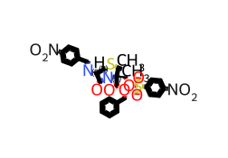 CC1(C)S[C@@H]2[C@@H](N=Cc3ccc([N+](=O)[O-])cc3)C(=O)N2[C@@]1(COS(=O)(=O)c1ccc([N+](=O)[O-])cc1)C(=O)OCc1ccccc1